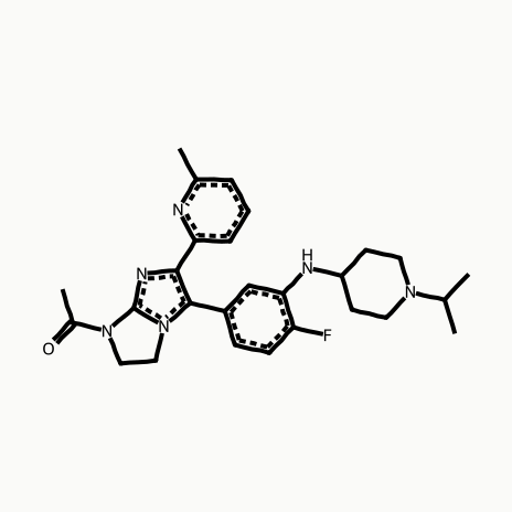 CC(=O)N1CCn2c1nc(-c1cccc(C)n1)c2-c1ccc(F)c(NC2CCN(C(C)C)CC2)c1